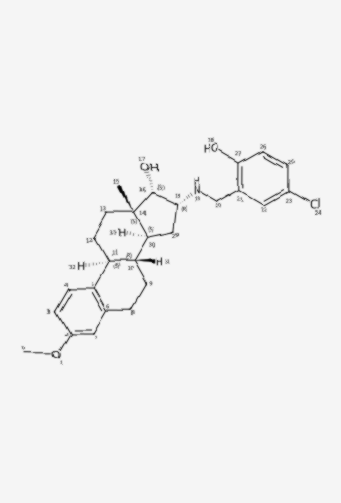 COc1ccc2c(c1)CC[C@@H]1[C@@H]2CC[C@]2(C)[C@H](O)[C@H](NCc3cc(Cl)ccc3O)C[C@@H]12